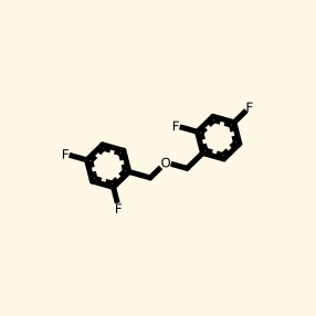 Fc1ccc(COCc2ccc(F)cc2F)c(F)c1